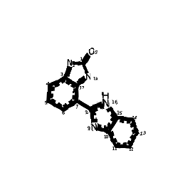 O=C1N=c2cccc(-c3nc4ccccc4[nH]3)c2=N1